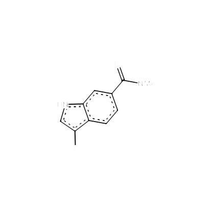 CNC(=O)c1ccc2c(Cl)c[nH]c2c1